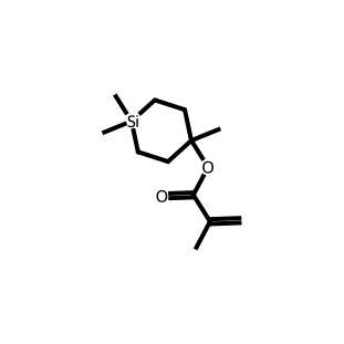 C=C(C)C(=O)OC1(C)CC[Si](C)(C)CC1